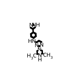 CC1CN(c2nccc(Nc3ccc(-c4cn[nH]c4)cc3)n2)CC(C)N1